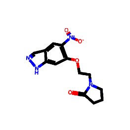 O=C1CCCN1CCOc1cc2[nH]ncc2cc1[N+](=O)[O-]